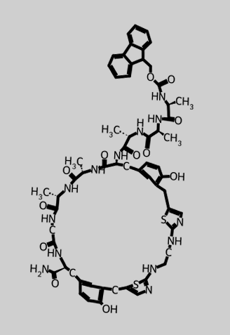 C[C@H](NC(=O)OCC1c2ccccc2-c2ccccc21)C(=O)N[C@@H](C)C(=O)N[C@@H](C)C(=O)N[C@H]1Cc2ccc(O)c(c2)Cc2cnc(s2)NCCNc2ncc(s2)Cc2cc(ccc2O)C[C@@H](C(N)=O)NC(=O)CNC(=O)[C@H](C)NC(=O)[C@H](C)NC1=O